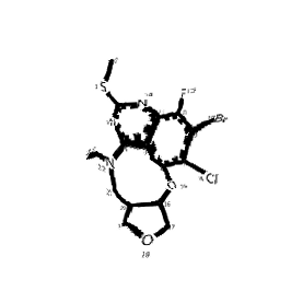 CSc1nc2c3c(c(Cl)c(Br)c(F)c3n1)OC1COCC1CN2C